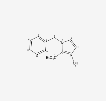 CCOC(=O)c1c(O)ccn1Cc1ccccc1